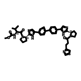 COC(=O)N[C@H](C(=O)N1CCC[C@H]1c1ncc(-c2ccc(-c3ccc(-c4cnc([C@@H]5CCCN5C(=O)CCc5cscn5)[nH]4)cc3)cc2)[nH]1)C(C)C